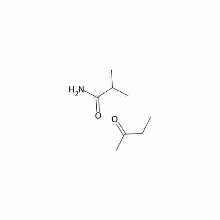 CC(C)C(N)=O.CCC(C)=O